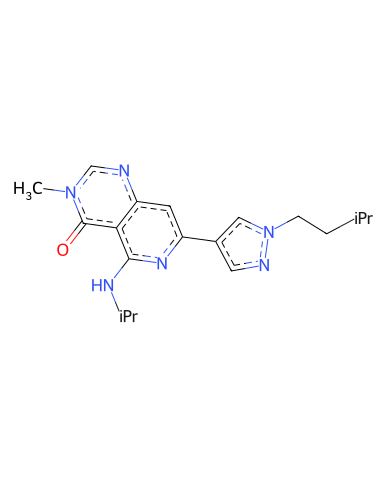 CC(C)CCn1cc(-c2cc3ncn(C)c(=O)c3c(NC(C)C)n2)cn1